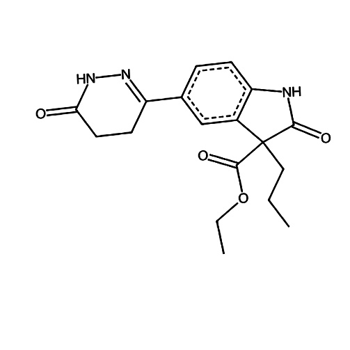 CCCC1(C(=O)OCC)C(=O)Nc2ccc(C3=NNC(=O)CC3)cc21